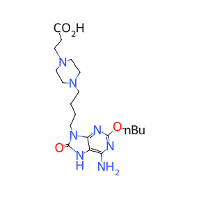 CCCCOc1nc(N)c2[nH]c(=O)n(CCCCN3CCN(CCC(=O)O)CC3)c2n1